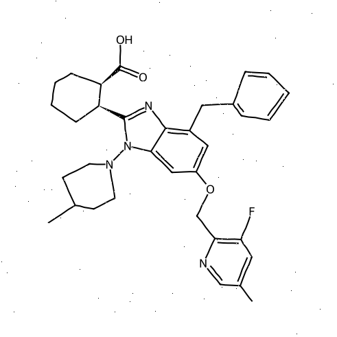 Cc1cnc(COc2cc(Cc3ccccc3)c3nc([C@H]4CCCC[C@H]4C(=O)O)n(N4CCC(C)CC4)c3c2)c(F)c1